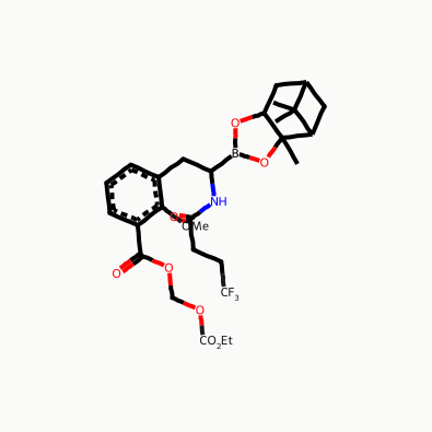 CCOC(=O)OCOC(=O)c1cccc(CC(NC(=O)CCC(F)(F)F)B2OC3CC4CC(C4(C)C)C3(C)O2)c1OC